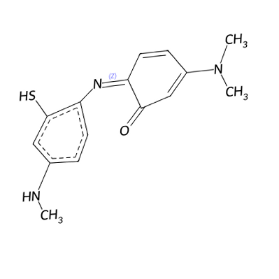 CNc1ccc(/N=C2/C=CC(N(C)C)=CC2=O)c(S)c1